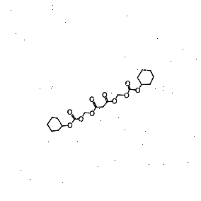 O=C(CC(=O)OCOC(=O)OC1CCCCC1)OCOC(=O)OC1CCCCC1